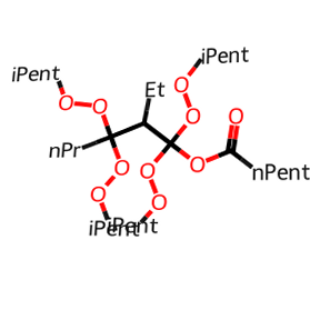 CCCCCC(=O)OC(OOC(C)CCC)(OOC(C)CCC)C(CC)C(CCC)(OOC(C)CCC)OOC(C)CCC